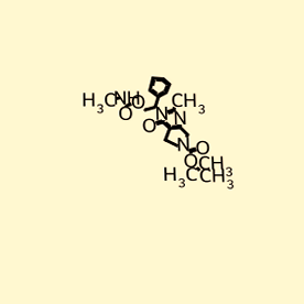 CNC(=O)OCC(c1ccccc1)n1c(C)nc2c(c1=O)CCN(C(=O)OC(C)(C)C)C2